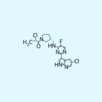 CC(Cl)C(=O)N1CCC[C@H](CNc2nc(-c3c[nH]c4ncc(Cl)cc34)ncc2F)C1